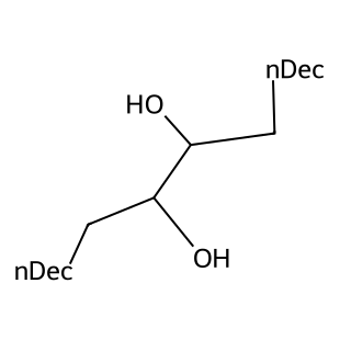 CCCCCCCCCCCC(O)C(O)CCCCCCCCCCC